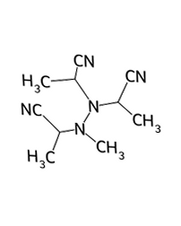 CC(C#N)N(C)N(C(C)C#N)C(C)C#N